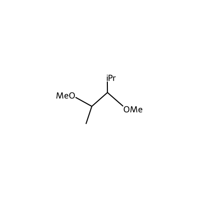 COC(C)C(OC)C(C)C